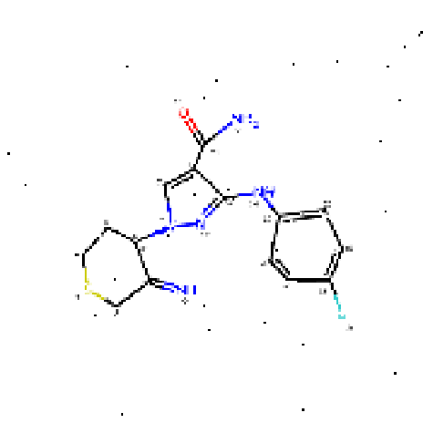 N=C1CSCC[C@H]1n1cc(C(N)=O)c(Nc2ccc(F)cc2)n1